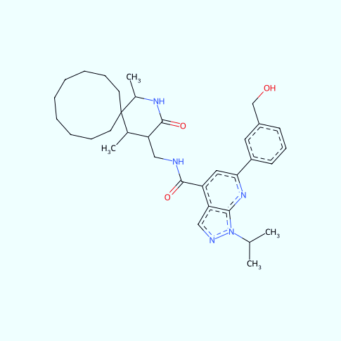 CC(C)n1ncc2c(C(=O)NCC3C(=O)NC(C)C4(CCCCCCCCC4)C3C)cc(-c3cccc(CO)c3)nc21